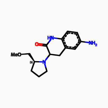 COC[C@@H]1CCCN1C1Cc2cc(N)ccc2NC1=O